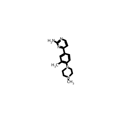 Cc1cc(-c2ccnc(N)n2)ccc1N1CCN(C)CC1